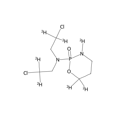 [2H]N1CCC([2H])([2H])OP1(=O)N(CC([2H])([2H])Cl)CC([2H])([2H])Cl